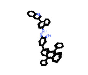 N=C1C=C(c2ccc3c(-c4ccccc4)c4ccccc4c(-c4ccccc4)c3c2)C=C/C1=N/Nc1ccc(-c2cnc3c(c2)CCC=C3)c2ccccc12